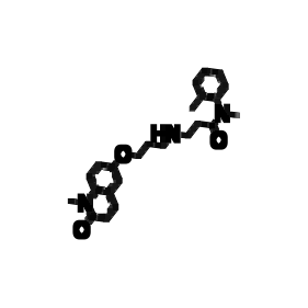 Cc1ccccc1N(C)C(=O)CCNCCCOc1ccc2c(ccc(=O)n2C)c1